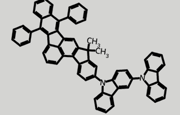 CC1(C)c2cc(-n3c4ccccc4c4cc(-n5c6ccccc6c6ccccc65)ccc43)ccc2-c2c1cc1c3c(cccc23)-c2c-1c(-c1ccccc1)c1ccccc1c2-c1ccccc1